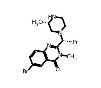 CCC[C@H](c1nc2ccc(Br)cc2c(=O)n1C)N1CCN[C@@H](C)C1